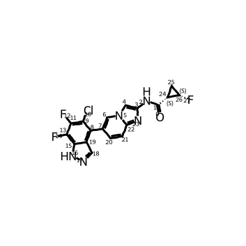 O=C(Nc1cn2cc(-c3c(Cl)c(F)c(F)c4[nH]ncc34)ccc2n1)[C@@H]1C[C@@H]1F